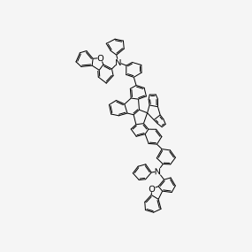 c1ccc(N(c2cccc(-c3ccc4c5c(ccc4c3)-c3c(c4ccc(-c6cccc(N(c7ccccc7)c7cccc8c7oc7ccccc78)c6)cc4c4ccccc34)C53c4ccccc4-c4ccccc43)c2)c2cccc3c2oc2ccccc23)cc1